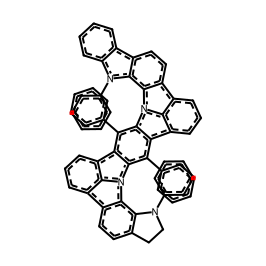 c1ccc(-c2c3c4cccc5c6ccc7c8ccccc8n(-c8ccccc8)c7c6n(c3c(-c3ccccc3)c3c6cccc7c8ccc9c(c8n(c23)c76)N(c2ccccc2)CC9)c54)cc1